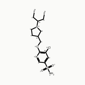 NS(=O)(=O)c1cnc(OCC2CCN(C(CF)CF)C2)c(Cl)c1